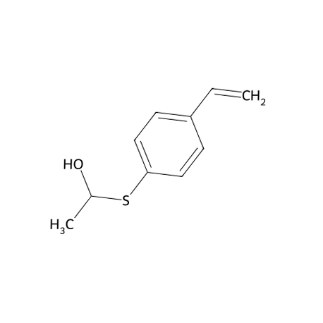 C=Cc1ccc(SC(C)O)cc1